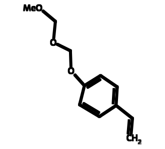 C=Cc1ccc(OCOCOC)cc1